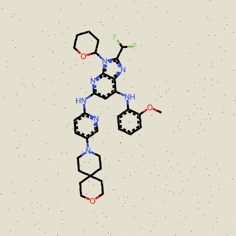 COc1ccccc1Nc1cc(Nc2ccc(N3CCC4(CCOCC4)CC3)cn2)nc2c1nc(C(F)F)n2C1CCCCO1